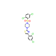 O=S(=O)(c1cc(Cl)ccc1Cl)N1CCN(c2nc(-c3ccc(Cl)cc3Cl)cs2)CC1